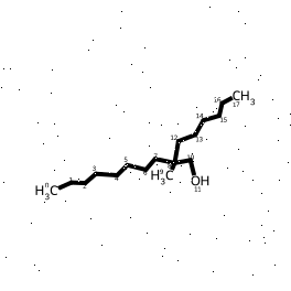 CCCCCCCCC(C)(CO)CCCCCC